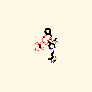 COC(=O)C1(N(OCc2ccccc2OC)C(C)=O)CCN(CCc2scnc2C)CC1.O=C(O)C(=O)O